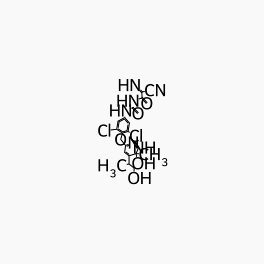 CC(CO)C1=CC(Oc2c(Cl)cc(NC(=O)NC(=O)C(=N)C#N)cc2Cl)=NNC1(C)O